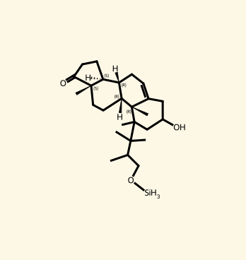 CC(CO[SiH3])C(C)(C)C1(C)CC(O)CC2=CC[C@@H]3[C@@H](CC[C@]4(C)C(=O)CC[C@@H]34)[C@]21C